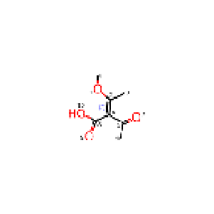 CO/C(C)=C(/C(C)=O)C(=O)O